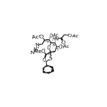 COC(=O)[C@@]1(SCc2ccccc2)C[C@H](OC(C)=O)[C@@H](NC(=O)COC(C)=O)[C@H]([C@H](OC(C)=O)[C@@H](CN=[N+]=[N-])OC(C)=O)O1